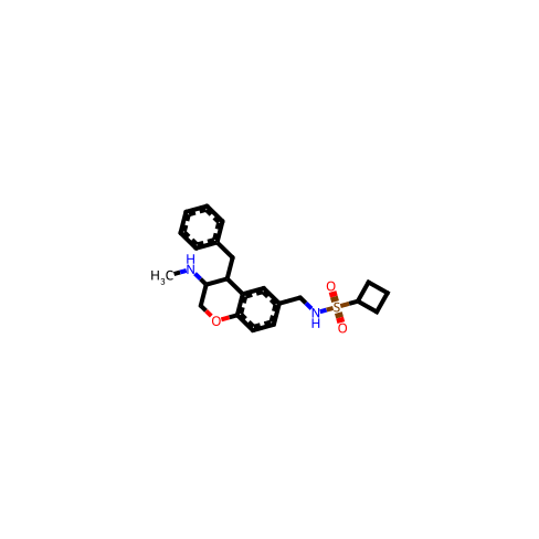 CNC1COc2ccc(CNS(=O)(=O)C3CCC3)cc2C1Cc1ccccc1